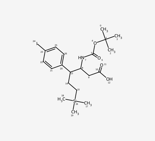 CC(C)(C)OC(=O)NC(CC(=O)O)C(CC[Si](C)(C)C)c1ccc(I)cc1